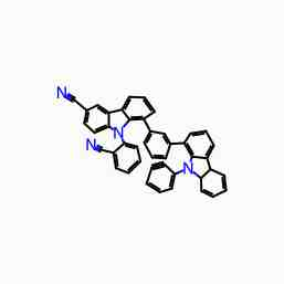 N#Cc1ccc2c(c1)c1cccc(-c3cccc(-c4cccc5c4N(c4c#cccc4)C4C=CC=CC54)c3)c1n2-c1ccccc1C#N